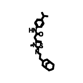 CC(C)c1ccc(NC(=O)Cc2cs/c(=N\CCC3CC4CCCC(C4)C3)n2C)cc1